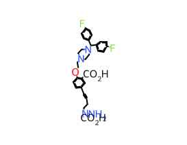 NN(CCC#Cc1ccc(OCCN2CCN(C(c3ccc(F)cc3)c3ccc(F)cc3)CC2)c(C(=O)O)c1)C(=O)O